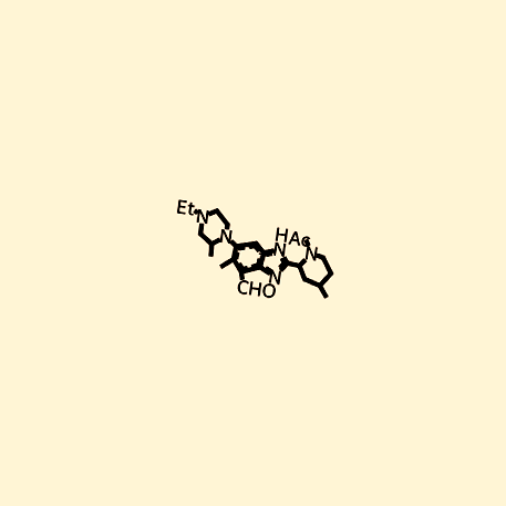 CCN1CCN(c2cc3[nH]c(C4CC(C)CCN4C(C)=O)nc3c(C=O)c2C)C(C)C1